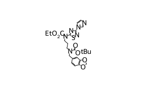 CCOC(=O)N(CCCN(Cc1ccc2c(c1)OCO2)C(=O)OC(C)(C)C)c1nc(-n2ccnc2)ns1